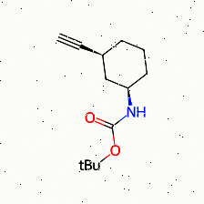 C#C[C@H]1CCC[C@@H](NC(=O)OC(C)(C)C)C1